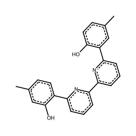 Cc1ccc(-c2cccc(-c3cccc(-c4cc(C)ccc4O)n3)n2)c(O)c1